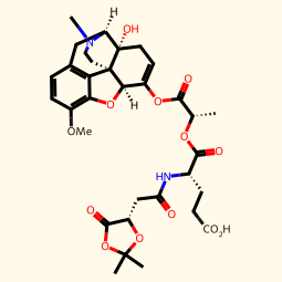 COc1ccc2c3c1O[C@@H]1C(OC(=O)[C@H](C)OC(=O)[C@H](CCC(=O)O)NC(=O)C[C@@H]4OC(C)(C)OC4=O)=CC[C@]4(O)[C@H](C2)N(C)CC[C@@]314